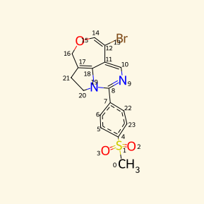 CS(=O)(=O)c1ccc(C2=NC=C3C(Br)=COCC4=C3N2CC4)cc1